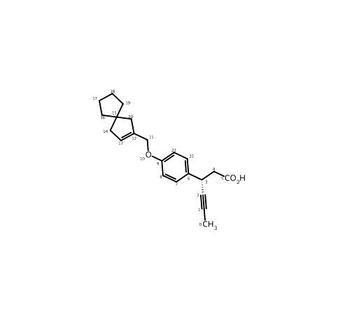 CC#C[C@@H](CC(=O)O)c1ccc(OCC2=CCC3(CCCC3)C2)cc1